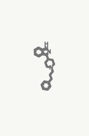 c1ccc(CCCN2CCC(c3n[nH]c4ccccc34)CC2)cc1